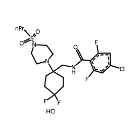 CCCS(=O)(=O)N1CCN(C2(CNC(=O)c3c(F)cc(Cl)cc3F)CCC(F)(F)CC2)CC1.Cl